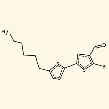 CCCCCCc1ccc(-c2cc(C=O)c(Br)s2)s1